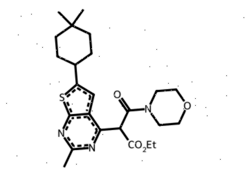 CCOC(=O)C(C(=O)N1CCOCC1)c1nc(C)nc2sc(C3CCC(C)(C)CC3)cc12